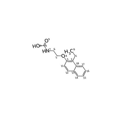 CCc1c(OCCNC(=O)O)ccc2ccccc12